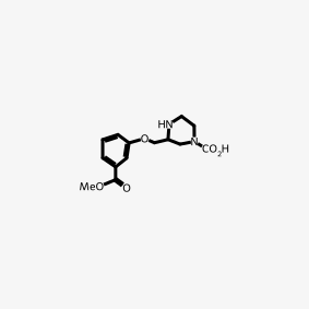 COC(=O)c1cccc(OCC2CN(C(=O)O)CCN2)c1